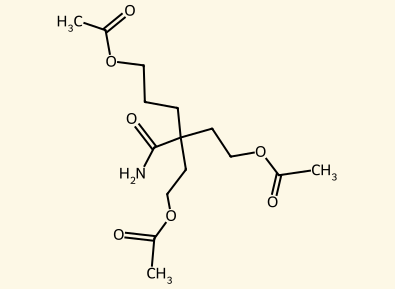 CC(=O)OCCCC(CCOC(C)=O)(CCOC(C)=O)C(N)=O